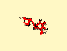 COc1cc2cc(c1Cl)N(C)C(=O)C[C@H](OC(=O)[C@H](C)N(C)C(=O)CCSSCCC(=O)NCCNC(=O)[C@@H](NC(=O)[C@@H]1CSSC[C@H](NC(=O)[C@H](N)Cc3c[nH]c4ccccc34)C(=O)N[C@@H](Cc3ccc(O)cc3)C(=O)N[C@H](Cc3c[nH]c4ccccc34)C(=O)NC(CCCCN)C(=O)N[C@@H]([C@@H](C)O)C(=O)N1)[C@@H](C)O)[C@]1(C)O[C@H]1[C@H](C)[C@@H]1C[C@@](O)(NC(=O)O1)[C@H](OC)/C=C/C=C(\C)C2